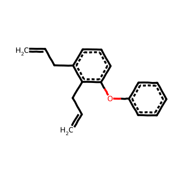 C=CCc1cccc(Oc2ccccc2)c1CC=C